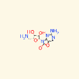 NC[C@H]1O[C@@H](n2c(=O)oc3cnc(N)nc32)[C@H](O)[C@@H]1O